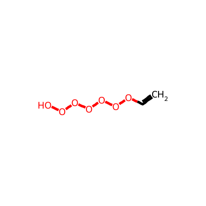 C=COOOOOOO